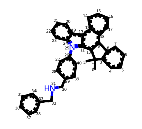 CC1(C)c2ccccc2-c2c1c1c(c3ccccc23)c2ccccc2n1-c1ccc(CNCc2ccccc2)cc1